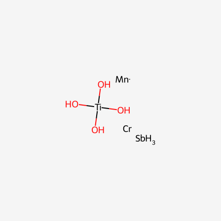 [Cr].[Mn].[OH][Ti]([OH])([OH])[OH].[SbH3]